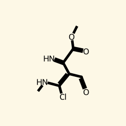 CN/C(Cl)=C(/C=O)C(=N)C(=O)OC